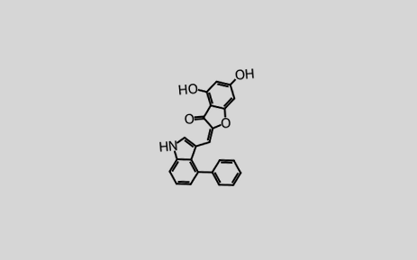 O=C1C(=Cc2c[nH]c3cccc(-c4ccccc4)c23)Oc2cc(O)cc(O)c21